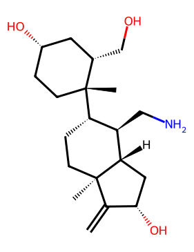 C=C1[C@@H](O)C[C@H]2[C@H](CN)[C@@H]([C@]3(C)CC[C@H](O)C[C@@H]3CO)CC[C@]12C